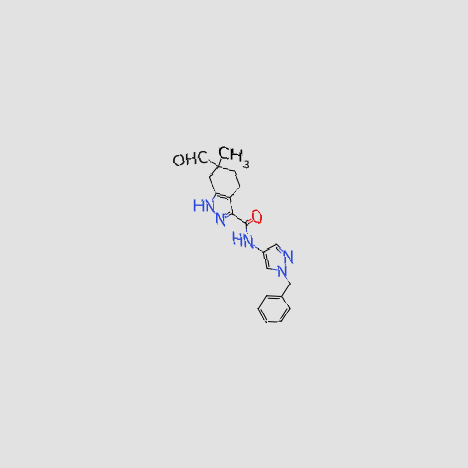 CC1(C=O)CCc2c(C(=O)Nc3cnn(Cc4ccccc4)c3)n[nH]c2C1